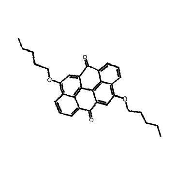 CCCCCOc1cc2c3c4c1cccc4c(=O)c1cc(OCCCCC)c4cccc(c2=O)c4c1-3